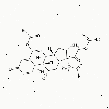 CCC(=O)OCC(=O)[C@]1(OC(=O)CC)[C@@H](C)C[C@H]2[C@@H]3C=C(OC(=O)CC)C4=CC(=O)C=C[C@]4(C)[C@@]3(Cl)[C@@H](Cl)C[C@@]21C